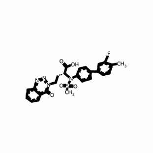 Cc1ccc(-c2ccc(N([C@H](CCn3nnc4ccccc4c3=O)C(=O)O)S(C)(=O)=O)cc2)cc1F